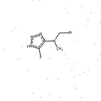 CC(C)CN(C)c1nn[nH]c1F